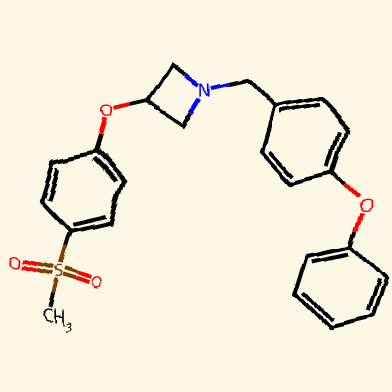 CS(=O)(=O)c1ccc(OC2CN(Cc3ccc(Oc4ccccc4)cc3)C2)cc1